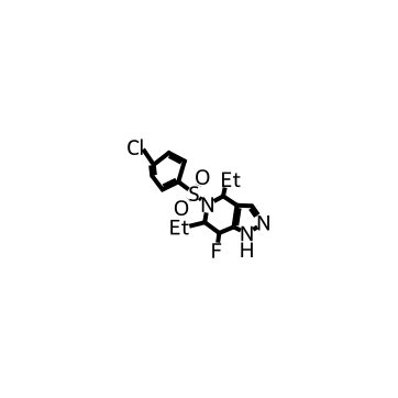 CCC1c2cn[nH]c2C(F)C(CC)N1S(=O)(=O)c1ccc(Cl)cc1